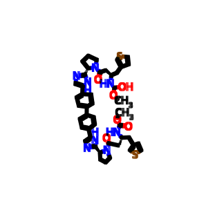 COC(=O)N[C@@H](CC(=O)N1CCC[C@H]1c1ncc(-c2ccc(-c3ccc(-c4cnc([C@@H]5CCCN5C(=O)C[C@@H](Cc5ccsc5)NC(O)OC)[nH]4)cc3)cc2)[nH]1)Cc1ccsc1